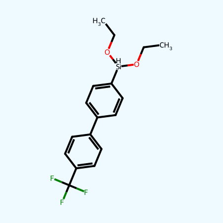 CCO[SiH](OCC)c1ccc(-c2ccc(C(F)(F)F)cc2)cc1